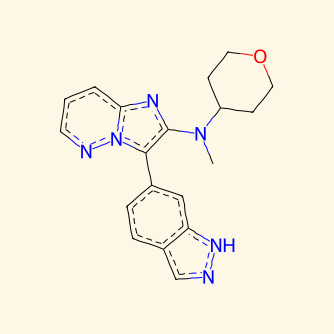 CN(c1nc2cccnn2c1-c1ccc2cn[nH]c2c1)C1CCOCC1